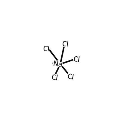 [Cl][Na]([Cl])([Cl])([Cl])[Cl]